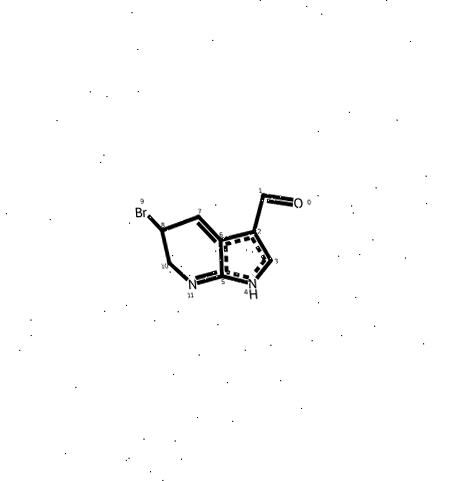 O=Cc1c[nH]c2c1=CC(Br)CN=2